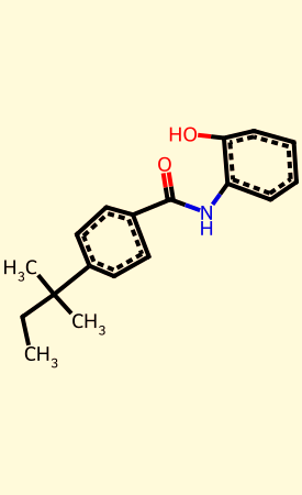 CCC(C)(C)c1ccc(C(=O)Nc2ccccc2O)cc1